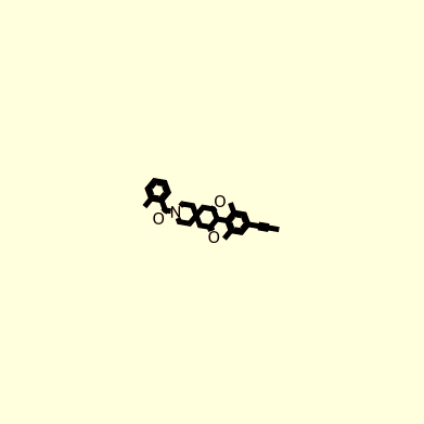 CC#Cc1cc(C)c(C2C(=O)CC3(CCN(C(=O)c4ccccc4C)CC3)CC2=O)c(C)c1